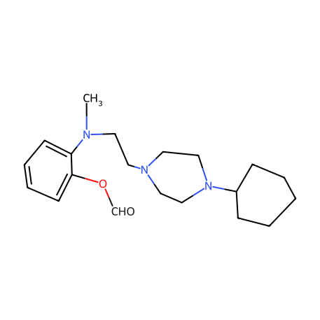 CN(CCN1CCN(C2CCCCC2)CC1)c1ccccc1OC=O